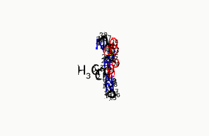 CC(C)CC(CC(=O)N1CCN(c2ccccc2)CC1)C(=O)N1CCC2C1C(=O)CN2S(=O)(=O)C(=O)c1cccnc1